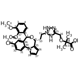 COc1cccc([C@H]2O[C@H](CCN3NN=C(COC(C)(C)C(=O)O)N3)c3cccn3-c3ccc(Cl)cc32)c1OC